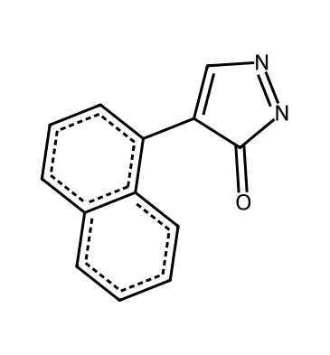 O=C1N=NC=C1c1cccc2ccccc12